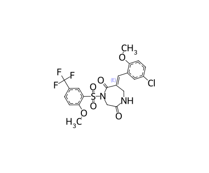 COc1ccc(Cl)cc1/C=C1\CNC(=O)CN(S(=O)(=O)c2cc(C(F)(F)F)ccc2OC)C1=O